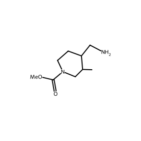 COC(=O)N1CCC(CN)C(C)C1